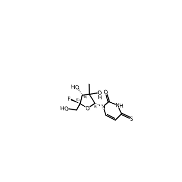 CC1(O)[C@@H](O)[C@@](F)(CO)O[C@H]1n1ccc(=S)[nH]c1=O